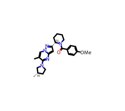 COc1ccc(C(=O)N2CCCC[C@H]2c2cc3nc(N4CC[C@H](C)C4)c(C)cn3n2)cc1